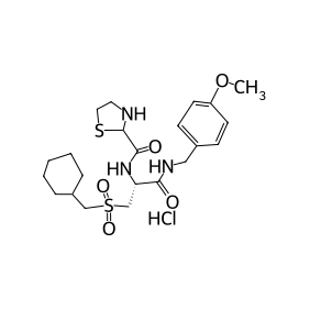 COc1ccc(CNC(=O)[C@H](CS(=O)(=O)CC2CCCCC2)NC(=O)C2NCCS2)cc1.Cl